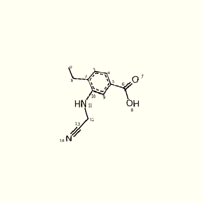 CCc1ccc(C(=O)O)cc1NCC#N